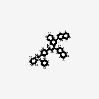 C1=c2c(-c3ccc4ccccc4c3)cc3c(-c4ccc5ccccc5c4)cc(-c4ccc(-c5nc6ccccc6n5-c5ccccc5)cc4)nc3c2=CCC1